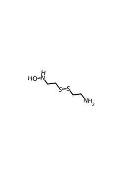 NCCSSCCNO